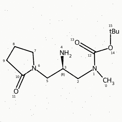 CN(C[C@H](N)CN1CCCC1=O)C(=O)OC(C)(C)C